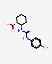 O=C(Nc1ccc(Br)cc1)N[C@@H]1CCCC[C@H]1C(=O)O